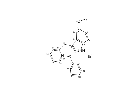 COc1ccc2[nH]cc(Cc3cccc[n+]3Cc3ccccc3)c2c1.[Br-]